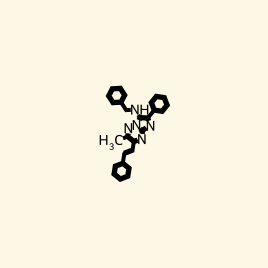 Cc1nn2c(NCc3ccccc3)c(-c3ccccc3)nc2nc1/C=C/c1ccccc1